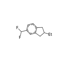 CCC1Cc2ccc(C(F)F)cc2C1